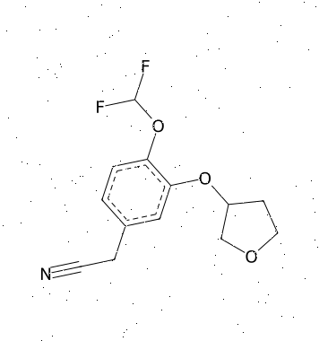 N#CCc1ccc(OC(F)F)c(OC2CCOC2)c1